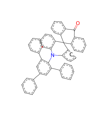 O=C1c2ccccc2C2(c3ccccc31)c1ccccc1N(c1c(-c3ccccc3)cc(-c3ccccc3)cc1-c1ccccc1)c1ccccc12